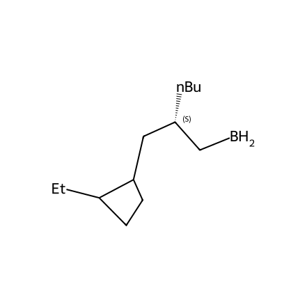 BC[C@@H](CCCC)CC1CCC1CC